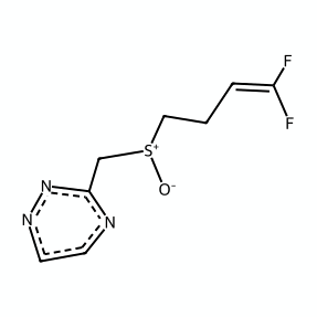 [O-][S+](CCC=C(F)F)Cc1nccnn1